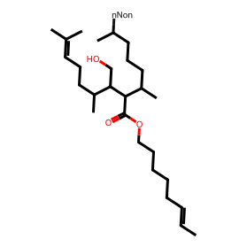 CC=CCCCCCOC(=O)C(C(C)CCCC(C)CCCCCCCCC)C(CO)C(C)CCC=C(C)C